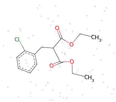 CCOC(=O)C(Cc1ccccc1Cl)C(=O)OCC